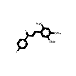 CCc1ccc(C(=S)C=Cc2cc(OC)c(OC)cc2OC)cc1